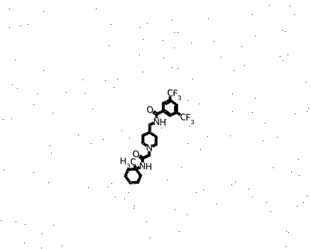 CC1(NC(=O)CN2CCC(CNC(=O)c3cc(C(F)(F)F)cc(C(F)(F)F)c3)CC2)CCCCC1